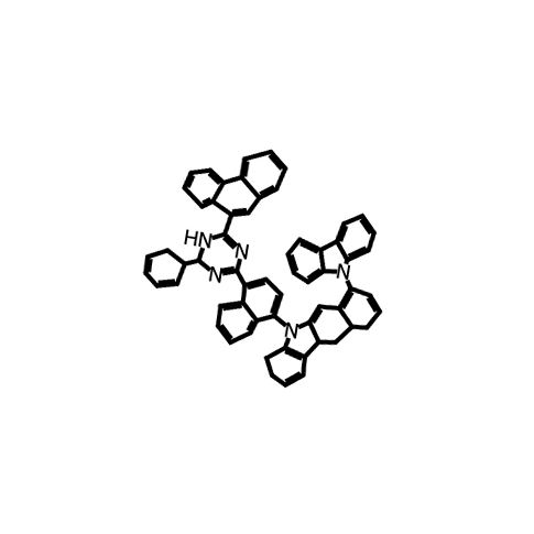 C1=CCC(C2N=C(c3ccc(N4C5=CC6=C(n7c8ccccc8c8ccccc87)C=CCC6CC5C5=C4CCC=C5)c4ccccc34)N=C(c3cc4ccccc4c4ccccc34)N2)C=C1